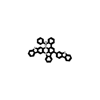 B1c2cc3sc4ccccc4c3cc2-n2c3ccccc3c3c(-c4ccc5c(c4)sc4ccccc45)cc(-c4ccccc4Nc4ccccc4)c1c32